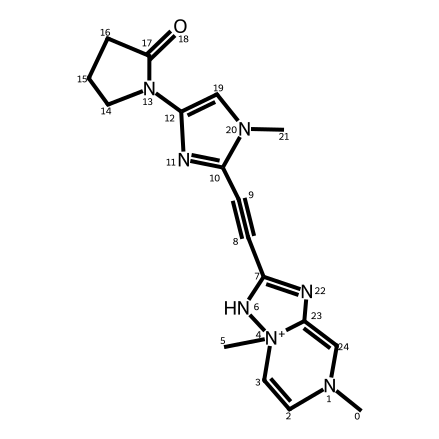 CN1C=C[N+]2(C)NC(C#Cc3nc(N4CCCC4=O)cn3C)=NC2=C1